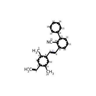 C=Cc1cc(C)c(/C=C/c2cccc(-c3ccccc3)c2C#N)cc1C